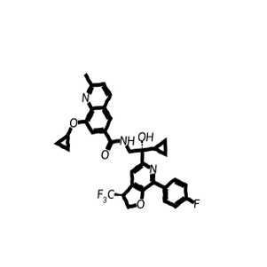 Cc1ccc2cc(C(=O)NC[C@](O)(c3cc4c(c(-c5ccc(F)cc5)n3)OC[C@H]4C(F)(F)F)C3CC3)cc(OC3CC3)c2n1